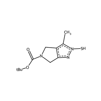 Cc1c2c(nn1S)CN(C(=O)OC(C)(C)C)C2